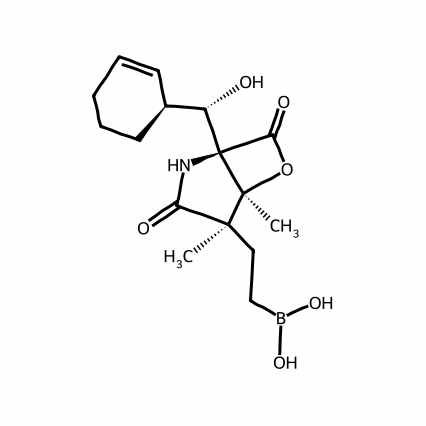 C[C@@]12OC(=O)[C@]1([C@@H](O)[C@@H]1C=CCCC1)NC(=O)[C@]2(C)CCB(O)O